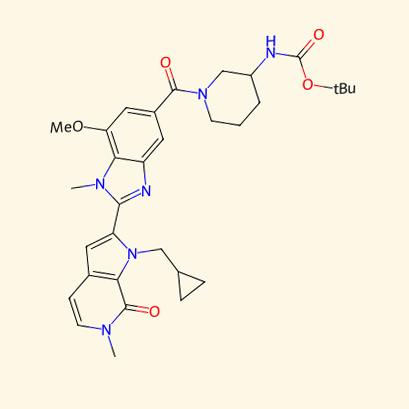 COc1cc(C(=O)N2CCCC(NC(=O)OC(C)(C)C)C2)cc2nc(-c3cc4ccn(C)c(=O)c4n3CC3CC3)n(C)c12